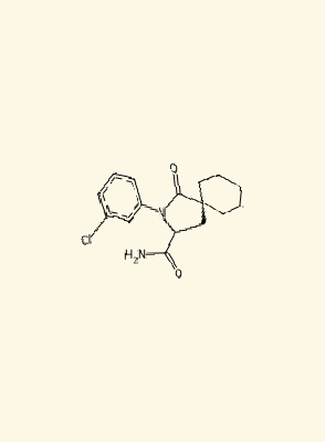 NC(=O)C1C[C@@]2(C[CH]CCC2)C(=O)N1c1cccc(Cl)c1